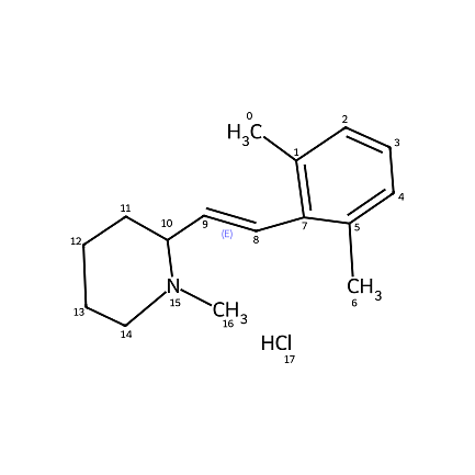 Cc1cccc(C)c1/C=C/C1CCCCN1C.Cl